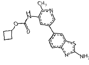 Cc1ncc(-c2ccc3nc(N)sc3c2)cc1NC(=O)OC1CCC1